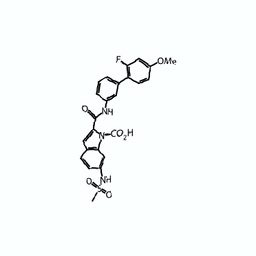 COc1ccc(-c2cccc(NC(=O)c3cc4ccc(NS(C)(=O)=O)cc4n3C(=O)O)c2)c(F)c1